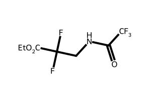 CCOC(=O)C(F)(F)CNC(=O)C(F)(F)F